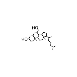 CC(C)CCCC(C)C1CCC2C3C(CO)CC4CC(O)CCC4(C)C3CCC12C